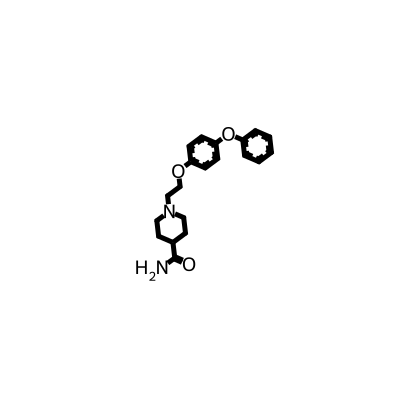 NC(=O)C1CCN(CCOc2ccc(Oc3ccccc3)cc2)CC1